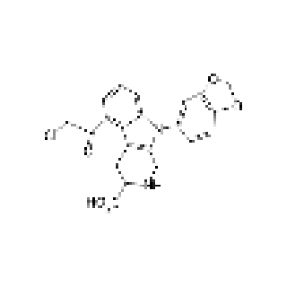 O=C(CCl)c1cccc2c1c1c(n2-c2ccc3c(c2)OCO3)CNC(C(=O)O)C1